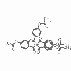 CC(=O)Oc1ccc([C](=O)[Ge]([C](=O)c2ccc(OC(C)=O)cc2)([C](=O)c2ccc(OC(C)=O)cc2)[C](=O)c2ccc(OC(C)=O)cc2)cc1